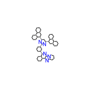 c1cc(-c2nc(-c3cc4ccccc4c4ccccc34)cc(-c3cc4ccccc4c4ccccc34)n2)cc(-c2nc3c(nc4ccccn43)c3ccccc23)c1